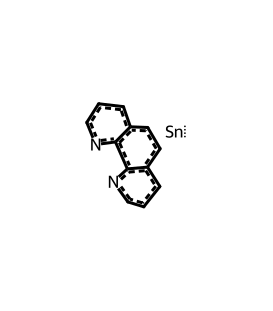 [Sn].c1cnc2c(c1)ccc1cccnc12